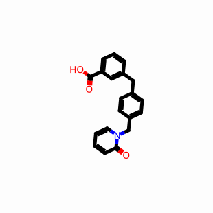 O=C(O)c1cccc(Cc2ccc(Cn3ccccc3=O)cc2)c1